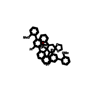 COc1ccccc1-c1cc(C(C)C)c(-c2cccc(-c3c(C(C)C)cc(-c4ccccc4OC)cc3C(C)C)c2C2(P(=O)=O)C(c3ccccc3)CC3(CC2c2ccccc2)OCCO3)c(C(C)C)c1